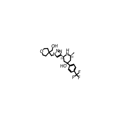 C[C@H]1CC(O)(c2ccc(C(F)(F)F)cc2)C[C@@H](c2cn(CC3(CO)CCOCC3)nn2)N1